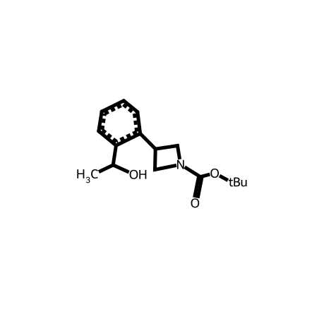 CC(O)c1ccccc1C1CN(C(=O)OC(C)(C)C)C1